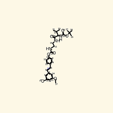 COc1cc(/C=C/c2ccc(OC(=O)NCCNC(=O)C(NC(=O)OC(C)(C)C)C(C)C)cc2)cc(OC)c1